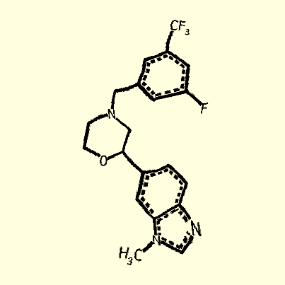 Cn1cnc2ccc(C3CN(Cc4cc(F)cc(C(F)(F)F)c4)CCO3)cc21